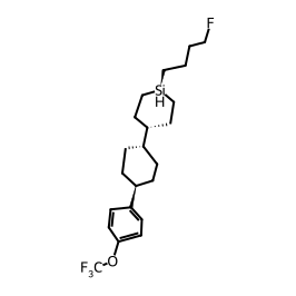 FCCCC[Si@H]1CC[C@H]([C@H]2CC[C@H](c3ccc(OC(F)(F)F)cc3)CC2)CC1